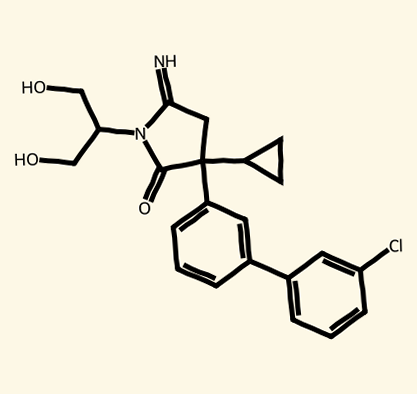 N=C1CC(c2cccc(-c3cccc(Cl)c3)c2)(C2CC2)C(=O)N1C(CO)CO